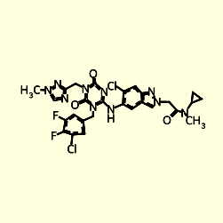 CN(C(=O)Cn1cc2cc(Nc3nc(=O)n(Cc4ncn(C)n4)c(=O)n3Cc3cc(F)c(F)c(Cl)c3)c(Cl)cc2n1)C1CC1